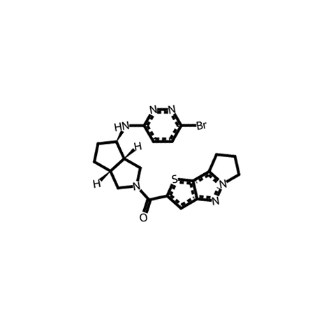 O=C(c1cc2nn3c(c2s1)CCC3)N1C[C@@H]2CC[C@@H](Nc3ccc(Br)nn3)[C@@H]2C1